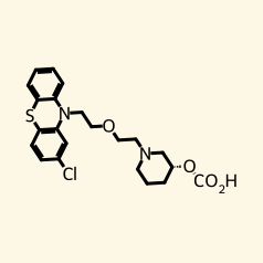 O=C(O)O[C@@H]1CCCN(CCOCCN2c3ccccc3Sc3ccc(Cl)cc32)C1